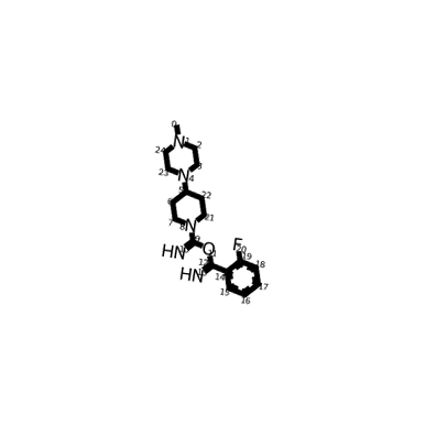 CN1CCN(C2CCN(C(=N)OC(=N)c3ccccc3F)CC2)CC1